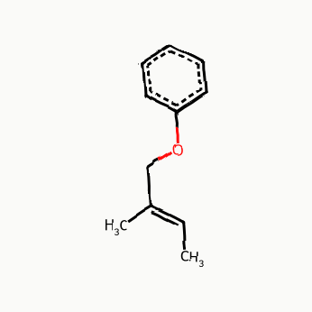 CC=C(C)COc1c[c]ccc1